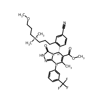 COCCC[N+](C)(C)CCCc1cc(C#N)ccc1[C@@H]1C(C(=O)OC)=C(C)N(c2cccc(C(F)(F)F)c2)c2n[nH]c(=O)n21